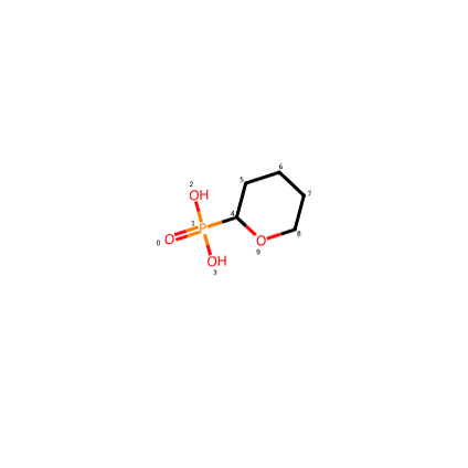 O=P(O)(O)C1CCCCO1